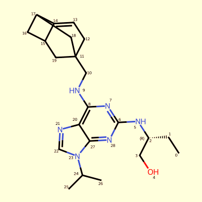 CC[C@H](CO)Nc1nc(NCC23CC=C4C(CC4C2)C3)c2ncn(C(C)C)c2n1